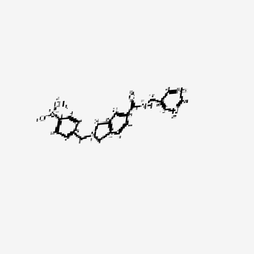 C[S+]([O-])c1ccc(CN2Cc3ccc(C(=O)NCc4cncnc4)cc3C2)cc1